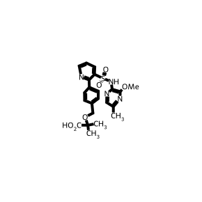 COc1nc(C)cnc1NS(=O)(=O)c1cccnc1-c1ccc(COC(C)(C)C(=O)O)cc1